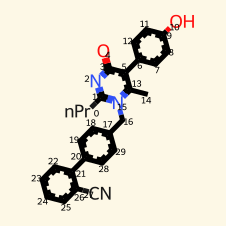 CCCc1nc(=O)c(-c2ccc(O)cc2)c(C)n1Cc1ccc(-c2ccccc2C#N)cc1